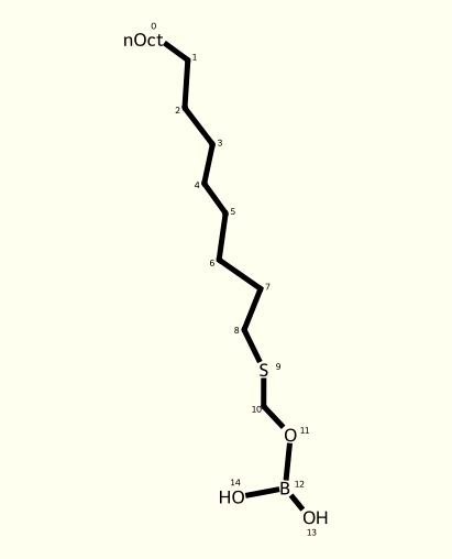 CCCCCCCCCCCCCCCCSCOB(O)O